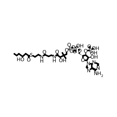 CCC[C@H](O)CC(=O)SCCNC(=O)CCNC(=O)[C@H](O)C(C)(C)COP(=O)(O)OP(=O)(O)OC[C@H]1O[C@@H](n2cnc3c(N)ncnc32)[C@H](O)[C@@H]1OP(=O)(O)O